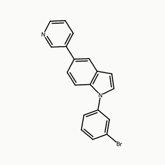 Brc1cccc(-n2ccc3cc(-c4cccnc4)ccc32)c1